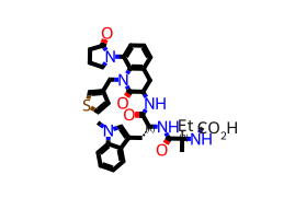 CC[C@@](C)(NC(=O)O)C(=O)N[C@H](Cc1cn(C)c2ccccc12)C(=O)NC1Cc2cccc(N3CCCC3=O)c2N(Cc2ccsc2)C1=O